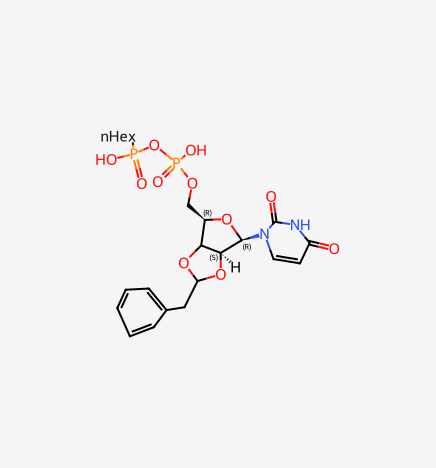 CCCCCCP(=O)(O)OP(=O)(O)OC[C@H]1O[C@@H](n2ccc(=O)[nH]c2=O)[C@H]2OC(Cc3ccccc3)OC12